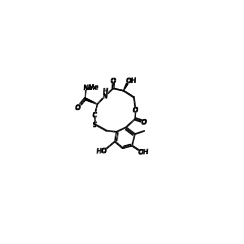 CNC(=O)[C@@H]1CSCc2c(O)cc(O)c(C)c2C(=O)OC[C@H](O)C(=O)N1